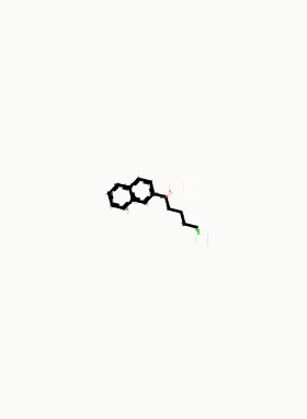 OC(CCCCCl)c1ccc2ccccc2c1